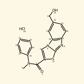 CN(C(=O)c1cn2c(nc3ccc(CO)cc32)s1)c1ccccc1.Cl